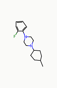 CC1CCC(N2CCN(c3ccccc3F)CC2)CC1